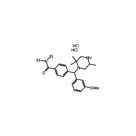 CCN(CC)C(=O)c1ccc(C(c2cccc(OC)c2)N2CC(C)NCC2(C)C)cc1.Cl.Cl